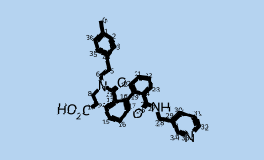 Cc1ccc(CCN(CCC(=O)O)C(=O)c2ccccc2-c2ccccc2C(=O)NCc2cccnc2)cc1